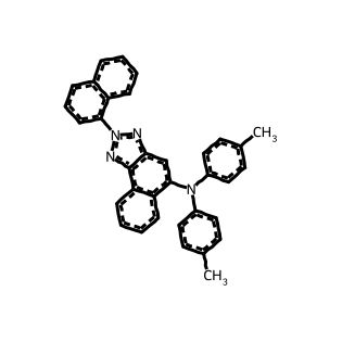 Cc1ccc(N(c2ccc(C)cc2)c2cc3nn(-c4cccc5ccccc45)nc3c3ccccc23)cc1